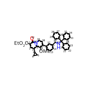 CCOC(=O)c1cc(C2CC2)c2c(OC)c(-c3cccc(CNC(c4ccccc4)(c4ccccc4)c4ccccc4)c3)ccn2c1=O